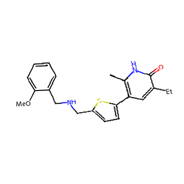 CCc1cc(-c2ccc(CNCc3ccccc3OC)s2)c(C)[nH]c1=O